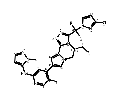 Cc1cnc(Nc2ccnn2C)cc1-c1cc2n(c1)C[C@H](CF)n1c-2nnc1C(F)(F)n1ccc(Cl)n1